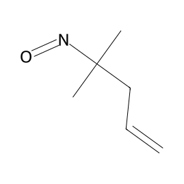 C=CCC(C)(C)N=O